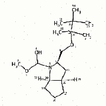 COC(O)N1[C@@H](CO[Si](C)(C)C(C)(C)C)C[C@H]2CCC[C@H]21